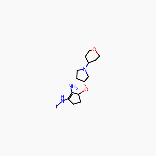 NC1=C(NI)CCC1O[C@@H]1CCN(C2CCOCC2)C1